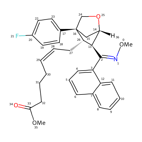 CON=C(c1cccc2ccccc12)[C@@H]1[C@@H]2C[C@@](c3ccc(F)cc3)(CO2)[C@H]1C/C=C\CCCC(=O)OC